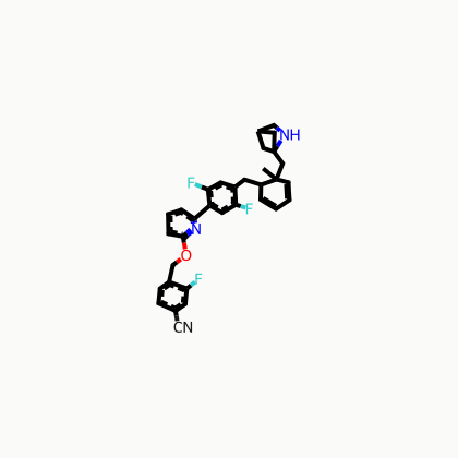 CC1(CC23CC(CN2)C3)C=CC=CC1Cc1cc(F)c(-c2cccc(OCc3ccc(C#N)cc3F)n2)cc1F